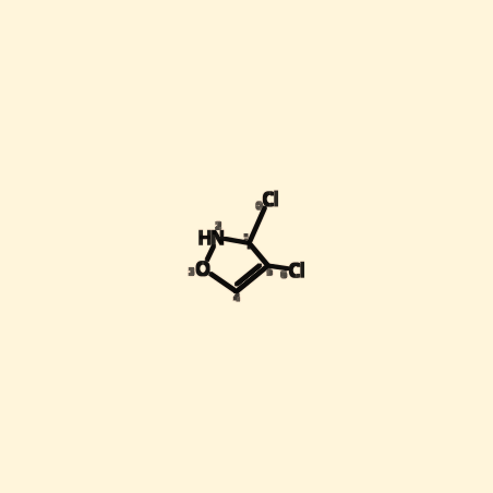 Cl[C]1NOC=C1Cl